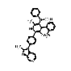 CCOC(=O)C1=C(c2ccc(-n3c(C)nc4cnccc43)cc2)NC(C)=C(N(C(=O)O)c2ccccc2)C1c1ccccc1Cl